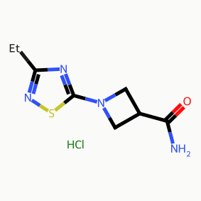 CCc1nsc(N2CC(C(N)=O)C2)n1.Cl